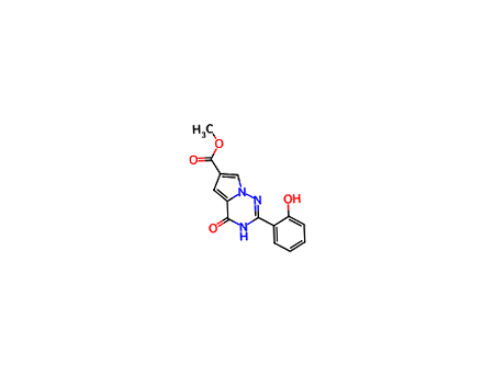 COC(=O)c1cc2c(=O)[nH]c(-c3ccccc3O)nn2c1